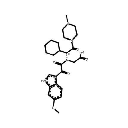 COc1ccc2c(C(=O)C(=O)N(CC(=O)O)[C@@H](C(=O)N3CCN(C)CC3)C3CCCCC3)c[nH]c2c1